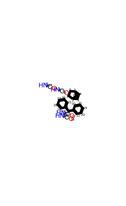 C1CC2CCC1C2.N=C=O.N=C=O.N=C=O.N=C=O.c1ccc(Cc2ccccc2)cc1